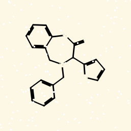 O=C1Nc2ccccc2CN(Cc2ccccc2)C1c1ccco1